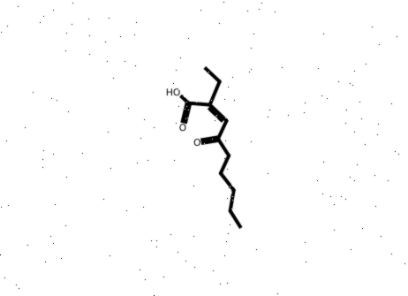 CCCCCC(=O)C=C(CC)C(=O)O